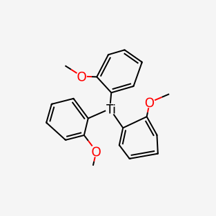 COc1cccc[c]1[Ti]([c]1ccccc1OC)[c]1ccccc1OC